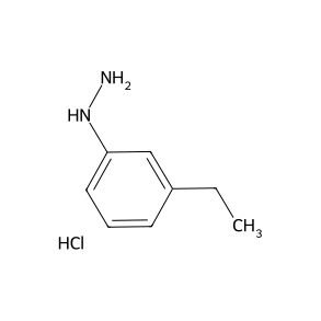 CCc1cccc(NN)c1.Cl